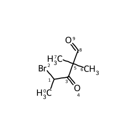 CC(Br)C(=O)C(C)(C)[C]=O